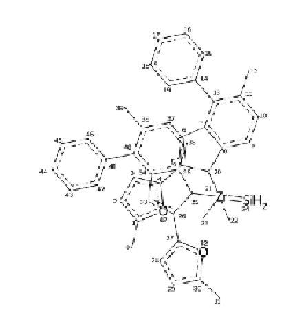 Cc1ccc(C2=Cc3c(ccc(C)c3-c3ccccc3)[CH]2[Zr]([CH3])([CH3])(=[SiH2])[CH]2C(c3ccc(C)o3)=Cc3c2ccc(C)c3-c2ccccc2)o1